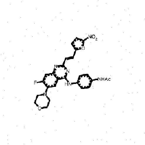 CC(=O)Nc1ccc(Nc2nc(C=Cc3ccc([N+](=O)[O-])o3)nc3cc(F)c(N4CCOCC4)cc23)cc1